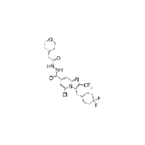 O=C(CC1CCOCC1)NNC(=O)c1cc(Cl)n2c(CC3CCC(F)(F)CC3)c(C(F)(F)F)nc2c1